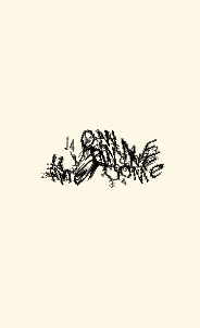 COc1cccc(OC)c1-n1c(N[S+]([O-])C(C)C(OC)c2cnc(C)cn2)nnc1-c1ccn(C(F)F)n1